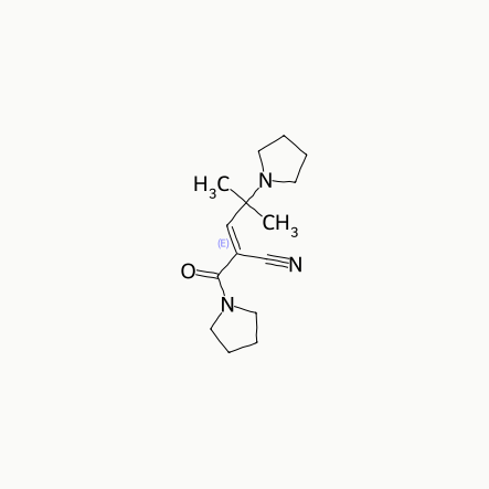 CC(C)(/C=C(\C#N)C(=O)N1CCCC1)N1CCCC1